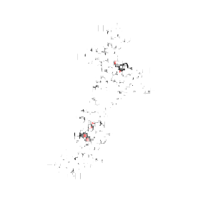 COCC1OC(O)C(CO)[C@@H](OC)[C@@H]1O[C@H]1OC(COC)[C@@H](O[C@H]2OC(C)[C@@H](N[C@H]3C(SCCOCCSC4C(CCO)[C@H](CO)[C@@H](CO)C(OC)[C@@H]4N[C@H]4C(C)O[C@@H](O[C@H]5C(CCO)O[C@@H](O[C@H]6C(CCO)OC(O)C(OC)[C@@H]6CO)C(OC)[C@@H]5CO)C(OC)[C@@H]4CO)C(COC)[C@@H](OC)[C@H](OC)C3CO)[C@H](OC)C2CO)[C@H](OC)C1CO